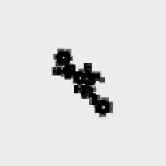 CC[C@@H]1N=C(N2CCN(C(=O)[C@@H](CCCCN3CCCCC3)NC(C)C)[C@H](PC)C2)O[C@H]1c1ccccc1